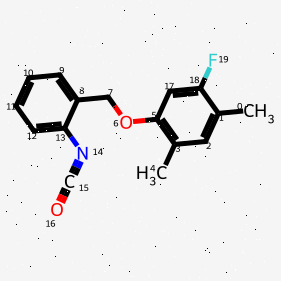 Cc1cc(C)c(OCc2ccccc2N=C=O)cc1F